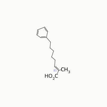 C/C(=C\CCCCCc1ccccc1)C(=O)O